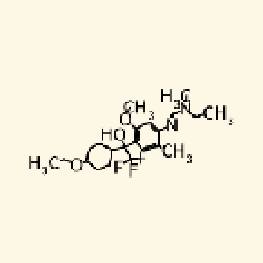 CCOC1CCC(C(O)(c2cc(C)c(/N=C/N(C)CC)cc2OC)C(F)(F)F)CC1